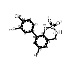 O=S1(=O)NCc2cc(F)cc(-c3ccc(Cl)c(F)c3)c2O1